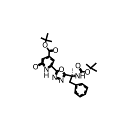 CC(C)(C)OC(=O)N[C@@](C)(Cc1ccccc1)c1nnc(-c2cc(C(=O)OC(C)(C)C)cc(=O)[nH]2)o1